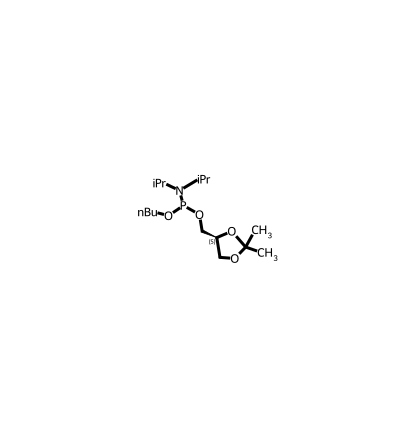 CCCCOP(OC[C@@H]1COC(C)(C)O1)N(C(C)C)C(C)C